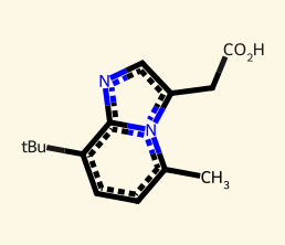 Cc1ccc(C(C)(C)C)c2ncc(CC(=O)O)n12